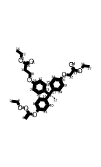 C=C(OOCC)Oc1ccc([C@@](C)(c2ccc(OCCC(=O)OCC)cc2)c2ccc(OCC(=O)OCC)cc2)cc1